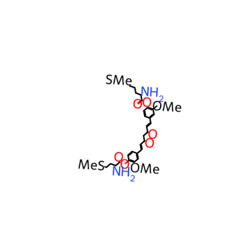 COc1cc(/C=C/C(=O)CC(=O)/C=C/c2ccc(OC(=O)[C@@H](N)CCSC)c(OC)c2)ccc1OC(=O)[C@@H](N)CCCSC